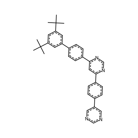 CC(C)(C)c1cc(-c2ccc(-c3cc(-c4ccc(-c5cncnc5)cc4)ncn3)cc2)cc(C(C)(C)C)c1